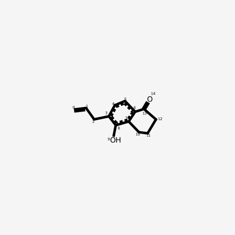 C=CCc1ccc2c(c1O)CCCC2=O